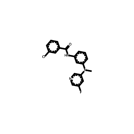 CN(c1cncc(F)c1)c1cccc(NC(=O)c2cccc(Cl)c2)c1